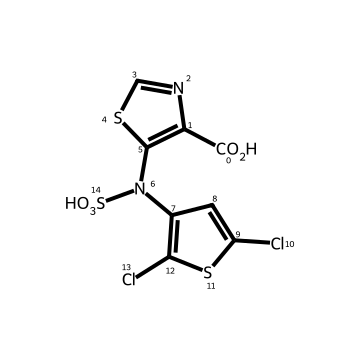 O=C(O)c1ncsc1N(c1cc(Cl)sc1Cl)S(=O)(=O)O